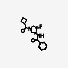 O=C(N[C@@H]1CN(C(=O)C2CCC2)C[C@@H]1F)c1ccccc1